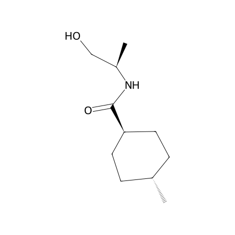 C[C@H](CO)NC(=O)[C@H]1CC[C@H](C)CC1